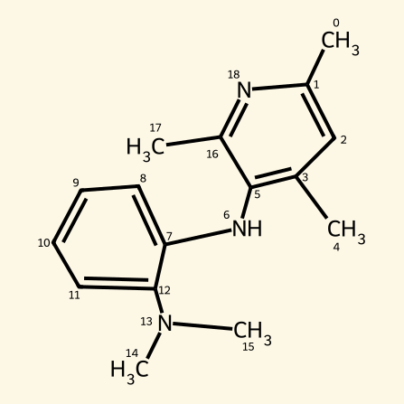 Cc1cc(C)c(Nc2ccccc2N(C)C)c(C)n1